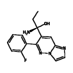 CC[C@](N)(O)c1cc2nccn2nc1-c1ccccc1F